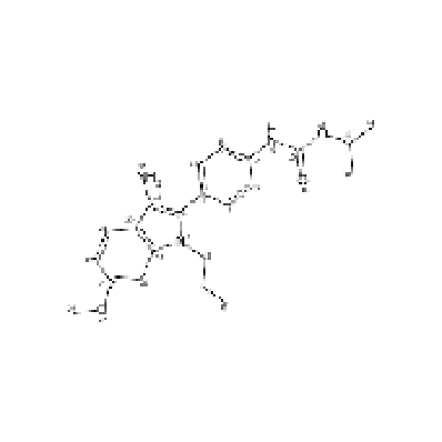 CCCn1c(-c2ccc(NC(=O)OC(C)C)cc2)c(N)c2ccc(OC)cc21